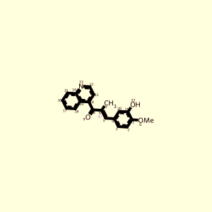 COc1ccc(/C=C(\C)C(=O)c2ccnc3ccccc23)cc1O